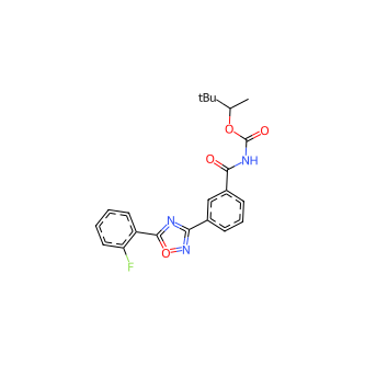 CC(OC(=O)NC(=O)c1cccc(-c2noc(-c3ccccc3F)n2)c1)C(C)(C)C